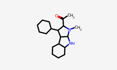 CC(=O)C1C(C2CCCCC2)C2C3CCCCC3NC2N1C